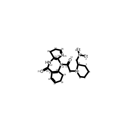 CCN(CC)CC1CCCCN1CC(=O)N1C2=C(C=CCC2)C(=O)NC2=C1N=CCC2